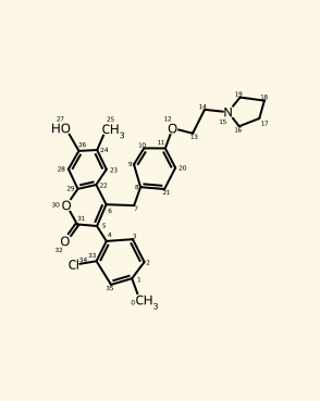 Cc1ccc(-c2c(Cc3ccc(OCCN4CCCC4)cc3)c3cc(C)c(O)cc3oc2=O)c(Cl)c1